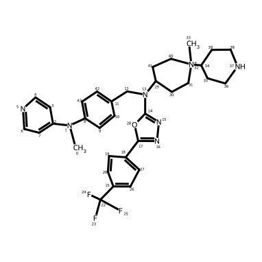 CN(c1ccncc1)c1ccc(CN(c2nnc(-c3ccc(C(F)(F)F)cc3)o2)C2CC[N+](C)(C3CCNCC3)CC2)cc1